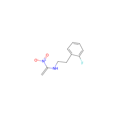 C=C(NCCc1ccccc1F)[N+](=O)[O-]